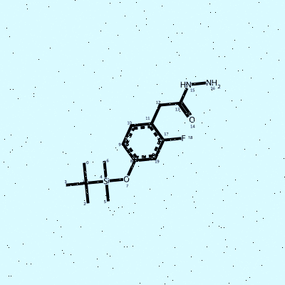 CC(C)(C)[Si](C)(C)Oc1ccc(CC(=O)NN)c(F)c1